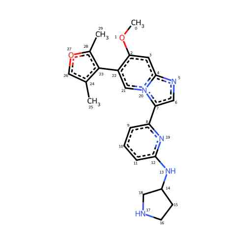 COc1cc2ncc(-c3cccc(NC4CCNC4)n3)n2cc1-c1c(C)coc1C